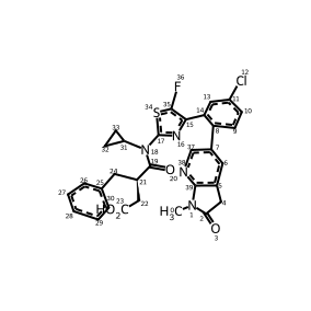 CN1C(=O)Cc2cc(-c3ccc(Cl)cc3-c3nc(N(C(=O)[C@@H](CC(=O)O)Cc4ccccc4)C4CC4)sc3F)cnc21